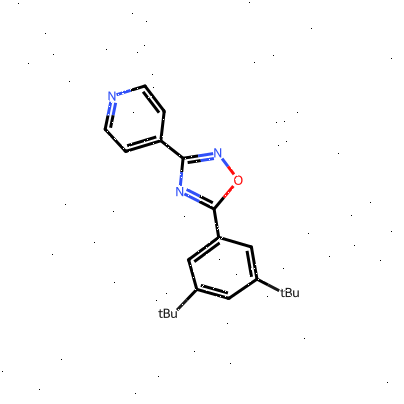 CC(C)(C)c1cc(-c2nc(-c3ccncc3)no2)cc(C(C)(C)C)c1